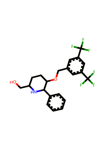 OCC1CCC(OCc2cc(C(F)(F)F)cc(C(F)(F)F)c2)C(c2ccccc2)N1